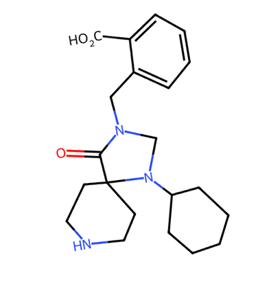 O=C(O)c1ccccc1CN1CN(C2CCCCC2)C2(CCNCC2)C1=O